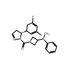 CN(c1ccccc1)C1CN(C(=O)N2N=CC[C@H]2C2C=C(F)C=C(F)C2)C1